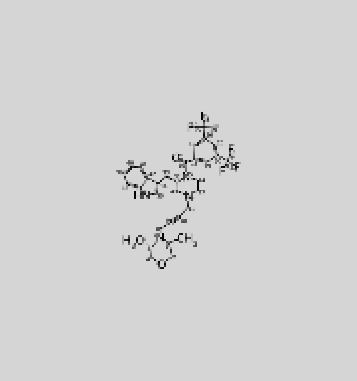 C[C@H]1COC[C@H](C)N1CC#CCN1CCN(C(=O)c2cc(C(F)(F)F)cc(C(F)(F)F)c2)[C@H](Cc2c[nH]c3ccccc23)C1